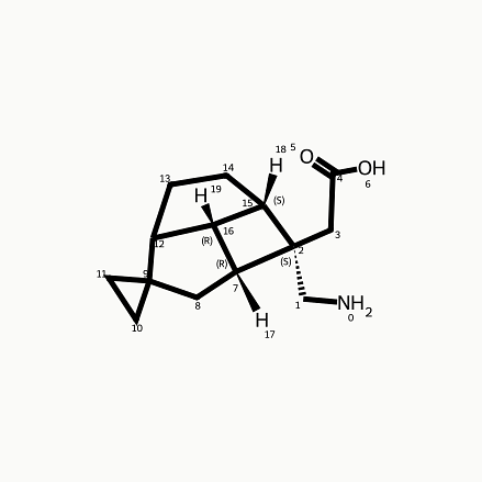 NC[C@]1(CC(=O)O)[C@@H]2CC3(CC3)C3CC[C@H]1[C@@H]32